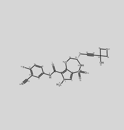 Cn1cc2c(c1C(=O)Nc1ccc(F)c(C#N)c1)OC[C@H](CC#CC1(O)COC1)NS2(=O)=O